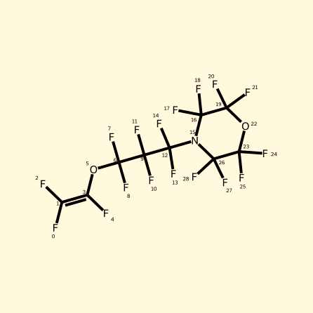 FC(F)=C(F)OC(F)(F)C(F)(F)C(F)(F)N1C(F)(F)C(F)(F)OC(F)(F)C1(F)F